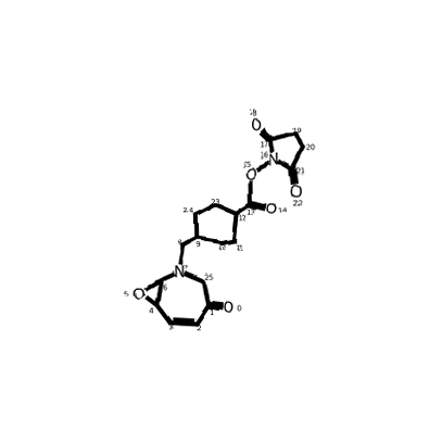 O=C1C=CC2OC2N(CC2CCC(C(=O)ON3C(=O)CCC3=O)CC2)C1